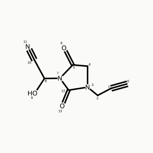 C#CCN1CC(=O)N(C(O)C#N)C1=O